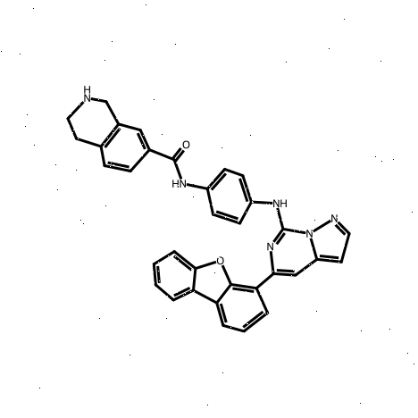 O=C(Nc1ccc(Nc2nc(-c3cccc4c3oc3ccccc34)cc3ccnn23)cc1)c1ccc2c(c1)CNCC2